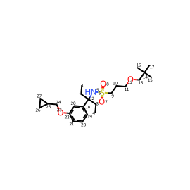 CCC(CC)(NS(=O)(=O)CCCOCC(C)(C)C)c1cccc(OCC2CC2)c1